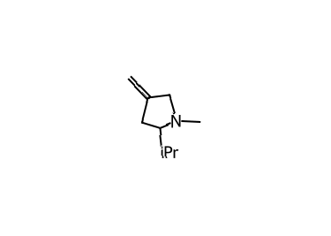 C=C1CC(C(C)C)N(C)C1